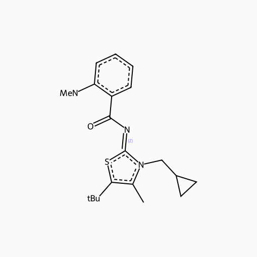 CNc1ccccc1C(=O)/N=c1\sc(C(C)(C)C)c(C)n1CC1CC1